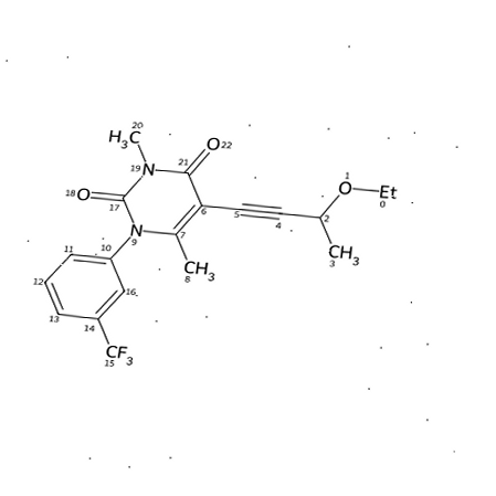 CCOC(C)C#Cc1c(C)n(-c2cccc(C(F)(F)F)c2)c(=O)n(C)c1=O